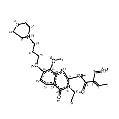 C/C=C(\C=N)C(=O)Nc1nc2c(OC)c(OCCCN3CCOCC3)ccc2c(=O)n1CC